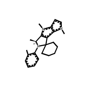 Cc1ccccc1N1[C@@H](C)c2c(c3c(ccn3C)n2C)C12CCCCC2